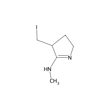 CNC1=NCCC1CI